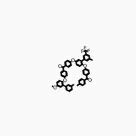 COc1ccc(Oc2ccc(C(=O)c3ccc(Oc4ccc(Oc5ccc(C(=O)c6ccc(C)cc6)cc5)c(-c5cc(C)cc(C(F)(F)F)c5)c4)cc3)cc2)c(-c2cccc(C)c2)c1